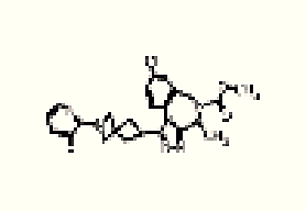 COC(=O)N1Cc2cc(Cl)ccc2-n2c(C3CC4(C3)CN(c3ncccc3F)C4)nnc2C1C